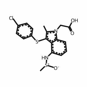 Cc1c(Sc2ccc(Cl)cc2)c2c(N[S+](C)[O-])cccc2n1CC(=O)O